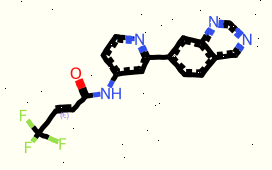 O=C(/C=C/C(F)(F)F)Nc1ccnc(-c2ccc3cncnc3c2)c1